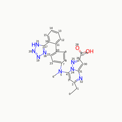 CCc1cc(N(C)c2ccc(-c3ccccc3-c3nnn[nH]3)cc2)n2nc(C(=O)O)cc2n1